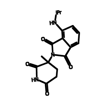 CC(C)Nc1cccc2c1C(=O)N(C1(C)CCC(=O)NC1=O)C2=O